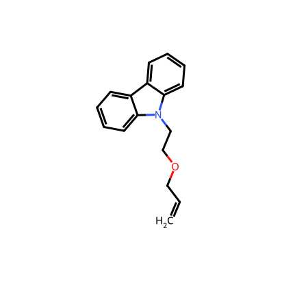 C=CCOCCn1c2ccccc2c2ccccc21